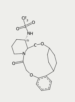 O=C1COc2ccccc2C2CCC(CC2)OCC2[C@@H](NS(=O)(=O)C(F)(F)F)CCCN12